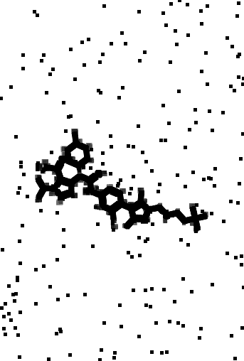 Cc1nn(COCC[Si](C)(C)C)c(C)c1-c1ccc(NC(=O)[C@H](c2cnn(C(C)C)c2C(N)=O)C2CCC(C)CC2)nc1F